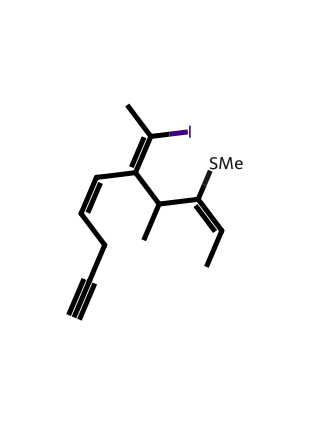 C#CC/C=C\C(=C(/C)I)C(C)/C(=C\C)SC